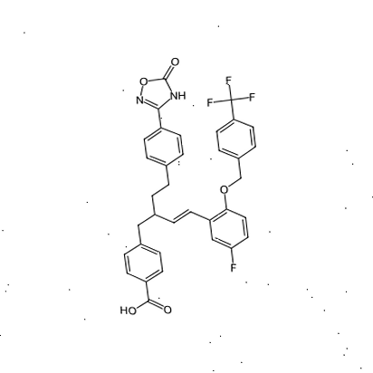 O=C(O)c1ccc(CC(C=Cc2cc(F)ccc2OCc2ccc(C(F)(F)F)cc2)CCc2ccc(-c3noc(=O)[nH]3)cc2)cc1